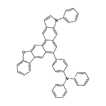 c1ccc(N(c2ccccc2)c2ccc(-c3cc4cc5c(ccn5-c5ccccc5)cc4c4cc5oc6ccccc6c5cc34)cc2)cc1